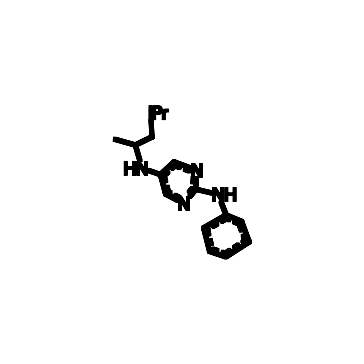 CC(C)CC(C)Nc1cnc(Nc2ccccc2)nc1